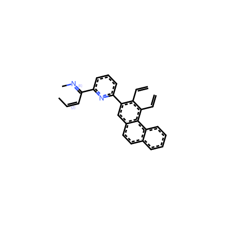 C=Cc1c(-c2cccc(C(/C=C\C)=N/C)n2)cc2ccc3ccccc3c2c1C=C